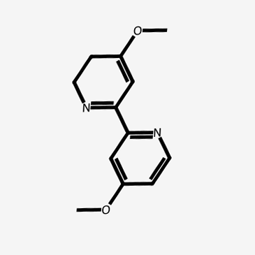 COC1=CC(c2cc(OC)ccn2)=NCC1